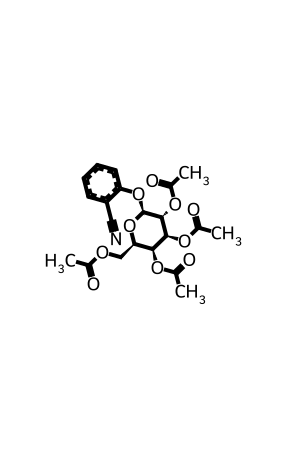 CC(=O)OC[C@H]1O[C@@H](Oc2ccccc2C#N)[C@H](OC(C)=O)[C@@H](OC(C)=O)[C@H]1OC(C)=O